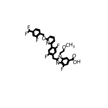 COCCn1c(Cc2cc(F)c(-c3cccc(OCc4ccc(C(F)F)cc4F)n3)cc2F)nc2c(F)cc(C(=O)O)cc21